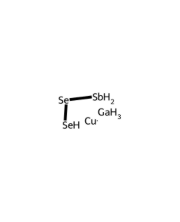 [Cu].[GaH3].[SeH][Se][SbH2]